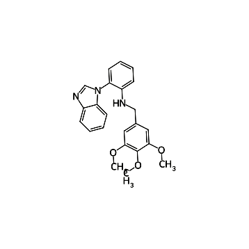 COc1cc(CNc2ccccc2-n2cnc3ccccc32)cc(OC)c1OC